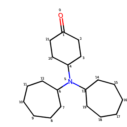 O=C1CCC(N(C2CCCCCC2)C2CCCCCC2)CC1